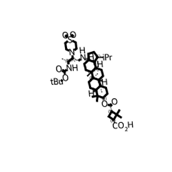 CC(C)[C@@H]1CC[C@]2(NC[C@H]([C@@H](C)NC(=O)OC(C)(C)C)N3CCS(=O)(=O)CC3)CC[C@]3(C)[C@H](CC[C@@H]4[C@@]5(C)CC[C@H](OC(=O)[C@H]6C[C@@H](C(=O)O)C6(C)C)C(C)(C)[C@@H]5CC[C@]43C)[C@@H]12